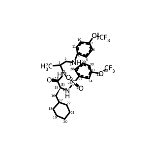 CC(CNc1ccc(OC(F)(F)F)cc1)NC(=O)[C@H](CC1CCCCC1)NS(=O)(=O)c1cccc(OC(F)(F)F)c1